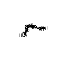 O=C(CCCCS(=O)(=O)O)N1CCOC2(CCN(C(=O)Cc3ccc(OCCCC4CCN(c5ncc(Cl)cn5)CC4)cc3F)C2)C1